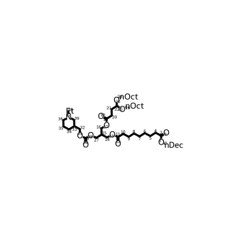 CCCCCCCCCCOC(=O)CCCCCCCC(=O)OCC(COC(=O)CCC(OCCCCCCCC)OCCCCCCCC)COC(=O)OCC1CCCN(CC)C1